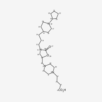 O=C(O)CCCN1CCN(CC2CN(CCCC3CCN(C4CCCC4)CC3)C(=O)O2)CC1